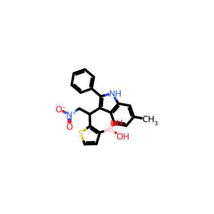 Cc1ccc2c(C(C[N+](=O)[O-])c3sccc3B(O)O)c(-c3ccccc3)[nH]c2c1